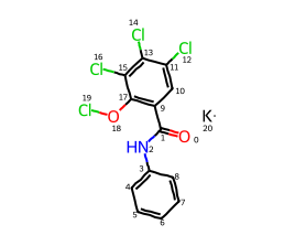 O=C(Nc1ccccc1)c1cc(Cl)c(Cl)c(Cl)c1OCl.[K]